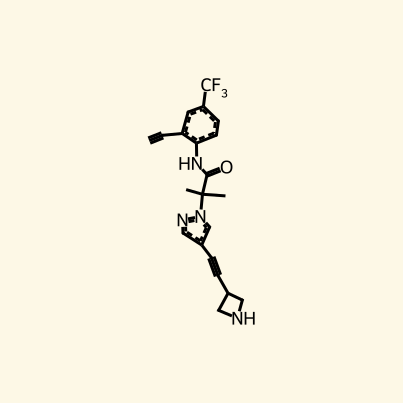 C#Cc1cc(C(F)(F)F)ccc1NC(=O)C(C)(C)n1cc(C#CC2CNC2)cn1